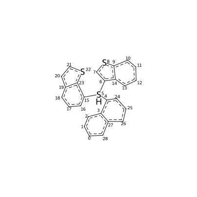 c1ccc2c([SH](c3csc4ccccc34)c3cccc4ccsc34)cccc2c1